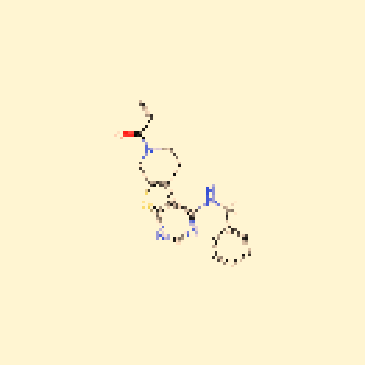 C=CC(=O)N1CCc2c(sc3ncnc(N[C@H](C)c4ccccc4)c23)C1